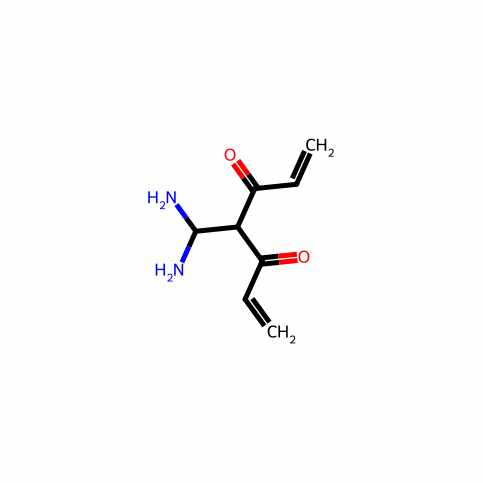 C=CC(=O)C(C(=O)C=C)C(N)N